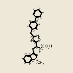 Cn1cc(CC(NC(=O)O)c2nc(Cc3ccc(-c4ccccc4)cc3)no2)c2ccccc21